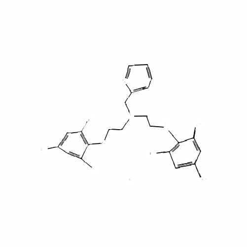 CC(C)c1cc(C(C)C)c(NCCN(CCNc2c(C(C)C)cc(C(C)C)cc2C(C)C)Cc2ccccn2)c(C(C)C)c1.[Ni]